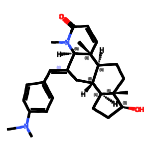 CN(C)c1ccc(/C=C2\C[C@@H]3[C@H](CC[C@]4(C)[C@@H](O)CC[C@@H]34)[C@@]3(C)C=CC(=O)N(C)[C@H]23)cc1